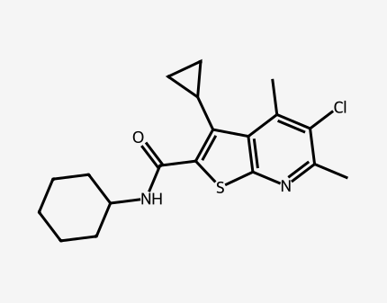 Cc1nc2sc(C(=O)NC3CCCCC3)c(C3CC3)c2c(C)c1Cl